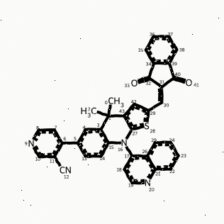 CC1(C)c2cc(-c3ccncc3C#N)ccc2N(c2ccnc3ccccc23)c2sc(C=C3C(=O)c4ccccc4C3=O)cc21